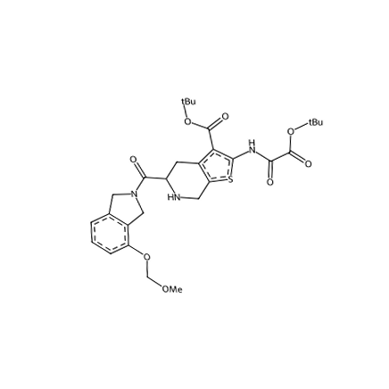 COCOc1cccc2c1CN(C(=O)C1Cc3c(sc(NC(=O)C(=O)OC(C)(C)C)c3C(=O)OC(C)(C)C)CN1)C2